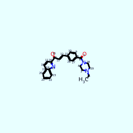 CCN1CCN(C(=O)c2ccc(C=CC(=O)c3ccc4ccccc4n3)cc2)CC1